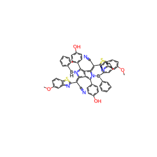 COc1ccc2sc(/C(C#N)=c3/c4c(-c5ccc(O)cc5)n(B(c5ccccc5)c5ccccc5)/c(=C(/C#N)c5nc6cc(OC)ccc6s5)c4c(-c4ccc(O)cc4)n3Bc3ccccc3)nc2c1